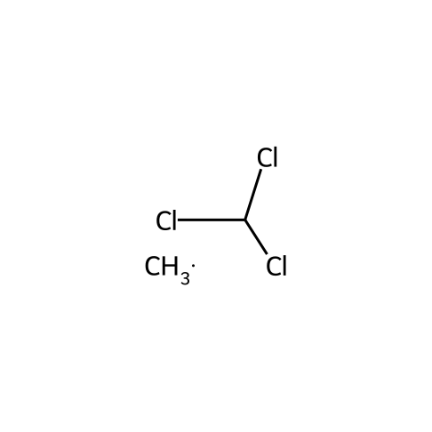 ClC(Cl)Cl.[CH3]